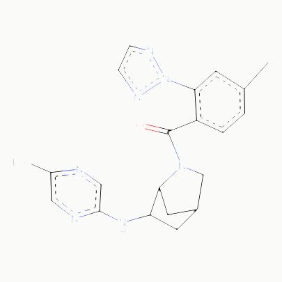 Cc1ccc(C(=O)N2CC3CC(Nc4cnc(C(F)(F)F)cn4)C2C3)c(-n2nccn2)c1